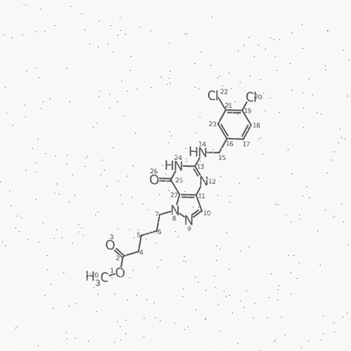 COC(=O)CCCCn1ncc2nc(NCc3ccc(Cl)c(Cl)c3)[nH]c(=O)c21